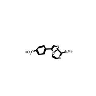 CNc1nccn2c(-c3ccc(C(=O)O)cc3)cnc12